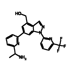 CC(N)c1cccc(-c2cc(CO)c3cnn(-c4cccc(C(F)(F)F)n4)c3c2)n1